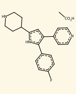 CC(=O)O.Fc1ccc(-c2[nH]c(C3CCNCC3)cc2-c2ccncc2)cc1